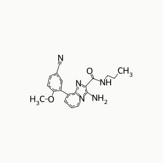 CCCNC(=O)c1nc2c(-c3cc(C#N)ccc3OC)cccn2c1N